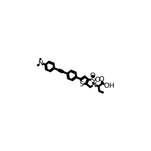 CCC(C(=O)O)N1Cc2sc(-c3ccc(C#Cc4ccc(N(C)C)cc4)cc3)cc2S1(=O)=O